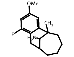 COc1cc(F)c2c(c1)C1(C)CCCCC(C2)C1N